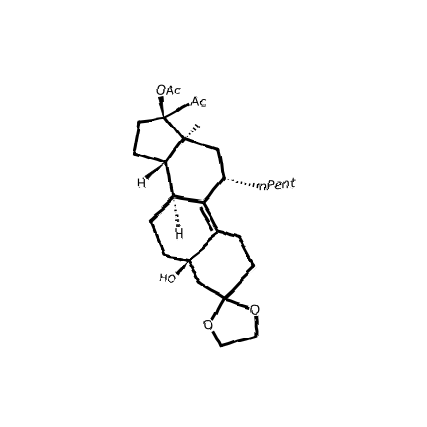 CCCCC[C@H]1C[C@@]2(C)[C@@H](CC[C@]2(OC(C)=O)C(C)=O)[C@@H]2CC[C@@]3(O)CC4(CCC3=C12)OCCO4